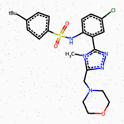 Cn1c(CN2CCOCC2)nnc1-c1cc(Cl)ccc1NS(=O)(=O)c1ccc(C(C)(C)C)cc1